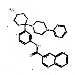 C[C@H]1CC[C@](c2cccc(NC(=O)c3cnc4ccccc4c3)c2)(N2CCN(c3ccccc3)CC2)CC1